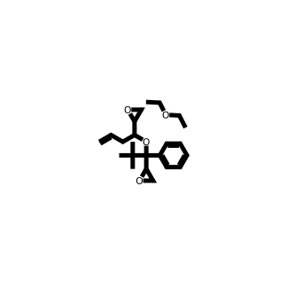 C=CCC(OC(c1ccccc1)(C1CO1)C(C)(C)C)C1CO1.CCOCC